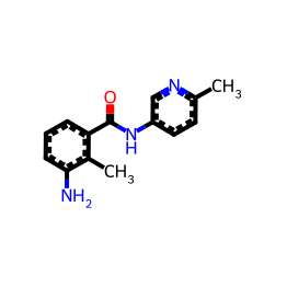 Cc1ccc(NC(=O)c2cccc(N)c2C)cn1